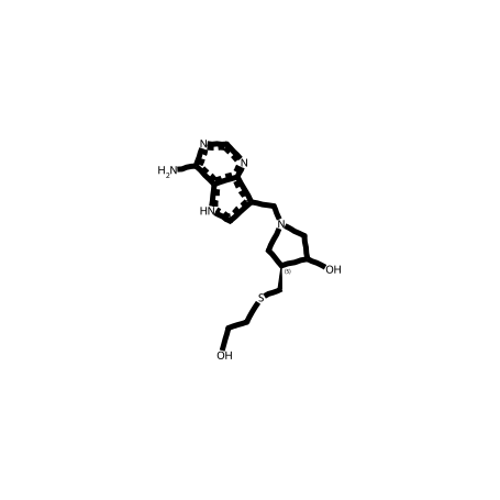 Nc1ncnc2c(CN3CC(O)[C@@H](CSCCO)C3)c[nH]c12